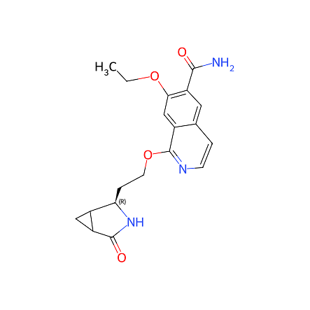 CCOc1cc2c(OCC[C@H]3NC(=O)C4CC43)nccc2cc1C(N)=O